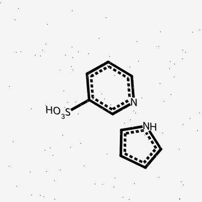 O=S(=O)(O)c1cccnc1.c1cc[nH]c1